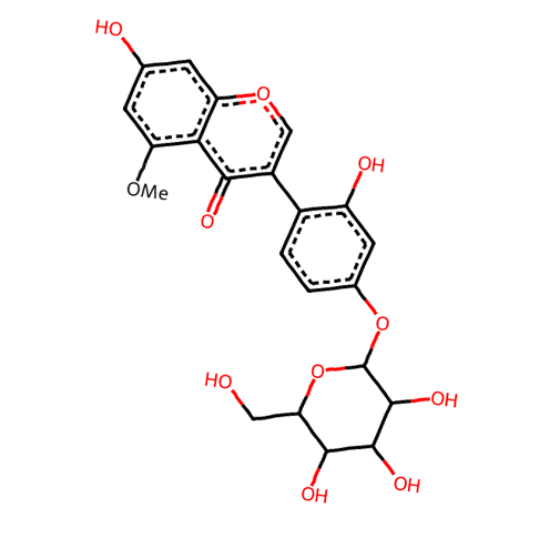 COc1cc(O)cc2occ(-c3ccc(OC4OC(CO)C(O)C(O)C4O)cc3O)c(=O)c12